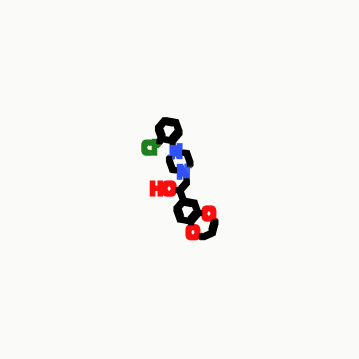 OC(CN1CCN(c2ccccc2Cl)CC1)c1ccc2c(c1)OC=CCO2